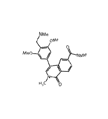 CNCc1c(OC)cc(-c2cn(C)c(=O)c3ccc(C(=O)NC)cc23)cc1OC